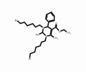 CCOC(=O)C1=C(C)N(CCCCCCBr)C(O)N(CCCCCCBr)C1c1ccccc1